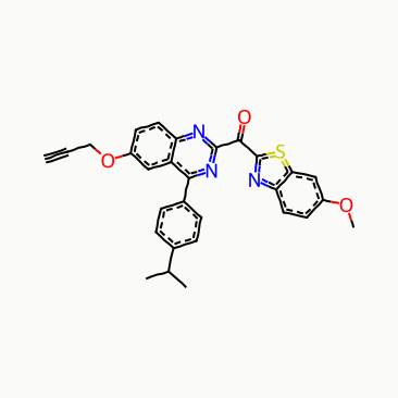 C#CCOc1ccc2nc(C(=O)c3nc4ccc(OC)cc4s3)nc(-c3ccc(C(C)C)cc3)c2c1